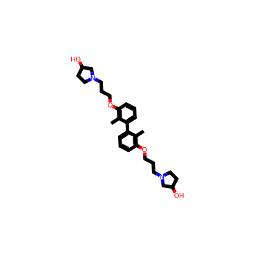 Cc1c(OCCCN2CCC(O)C2)cccc1-c1cccc(OCCCN2CCC(O)C2)c1C